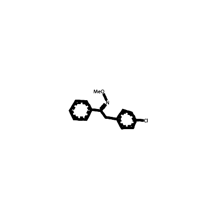 CON=C(Cc1ccc(Cl)cc1)c1ccccc1